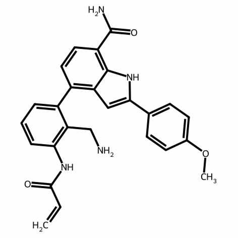 C=CC(=O)Nc1cccc(-c2ccc(C(N)=O)c3[nH]c(-c4ccc(OC)cc4)cc23)c1CN